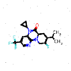 CC(C)C1CC2C(=O)N(C3CC3)c3cc(C(F)(F)F)cnc3N2CC1F